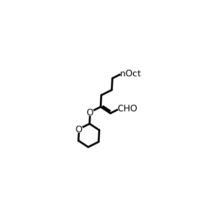 CCCCCCCCCCCC(=CC=O)OC1CCCCO1